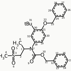 CC(CS(C)(=O)=O)N(C(=O)OCc1ccccc1)c1ccc(OCc2ccccc2)c(C(C)(C)C)c1